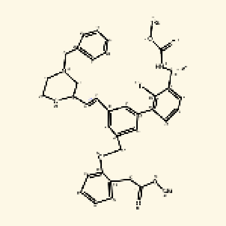 C[C@@H](NC(=O)OC(C)(C)C)c1cccc(-c2cc(/C=C/C3CN(Cc4ccccc4)CCO3)cc(COc3ccccc3CC(=O)OC(C)(C)C)c2)c1F